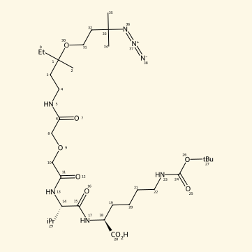 CCC(C)(CCNC(=O)COCC(=O)N[C@H](C(=O)N[C@@H](CCCCNC(=O)OC(C)(C)C)C(=O)O)C(C)C)OCCC(C)(C)N=[N+]=[N-]